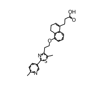 Cc1ccc(-c2nc(CCOc3cccc4c3CCC=C4CCC(=O)O)c(C)s2)cn1